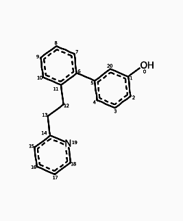 Oc1cccc(-c2ccccc2CCc2ccccn2)c1